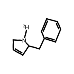 [2H]N1CC=CC1Cc1ccccc1